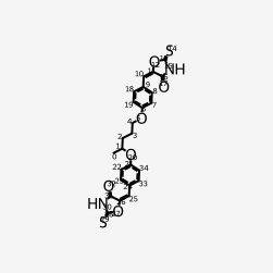 CC(CCCOc1ccc(C=C2OC(=S)NC2=O)cc1)Oc1ccc(C=C2OC(=S)NC2=O)cc1